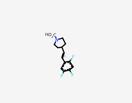 O=C(O)N1CCC(/C=C/c2cc(F)c(F)cc2F)CC1